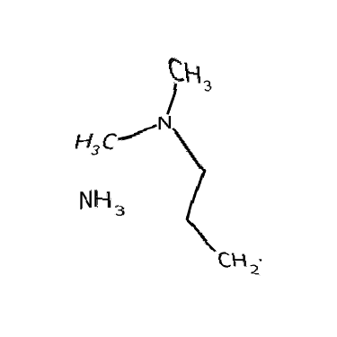 N.[CH2]CCN(C)C